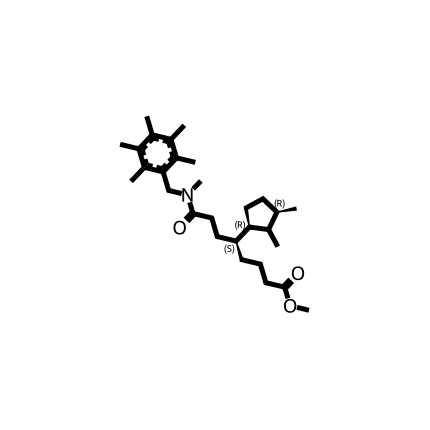 COC(=O)CCC[C@@H](CCC(=O)N(C)Cc1c(C)c(C)c(C)c(C)c1C)[C@H]1CC[C@@H](C)C1C